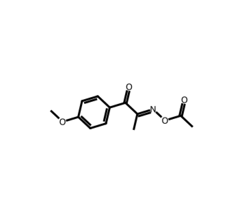 COc1ccc(C(=O)/C(C)=N/OC(C)=O)cc1